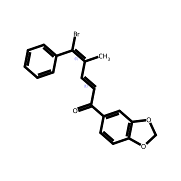 CC(/C=C/C(=O)c1ccc2c(c1)OCO2)=C(\Br)c1ccccc1